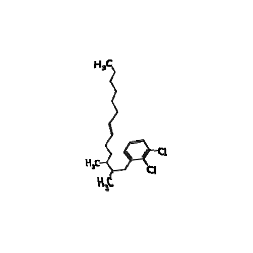 CCCCCCCCCCC(C)[C](C)Cc1cccc(Cl)c1Cl